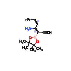 C#C/C(B1OC(C)(C)C(C)(C)O1)=C(N)\C=C/CCC